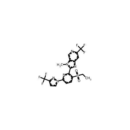 CCS(=O)(=O)c1ccc(-n2ccc(C(F)(F)F)n2)nc1-c1nc2cc(C(F)(F)F)ncc2n1C